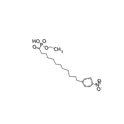 CCOP(=O)(O)C(=O)CCCCCCCCCCCc1ccc([N+](=O)[O-])cc1